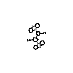 N#Cc1cc(-c2cc(C#N)cc(N3c4ccccc4Sc4ccccc43)c2)cc(N2c3ccccc3Sc3ccccc32)c1